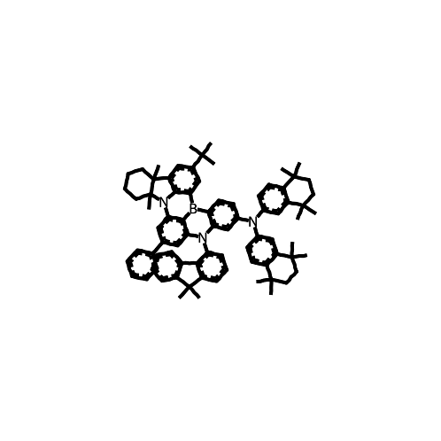 CC(C)(C)c1cc2c3c(c1)C1(C)CCCCC1(C)N3c1cc(-c3ccccc3)cc3c1B2c1ccc(N(c2ccc4c(c2)C(C)(C)CCC4(C)C)c2ccc4c(c2)C(C)(C)CCC4(C)C)cc1N3c1cccc2c1-c1ccccc1C2(C)C